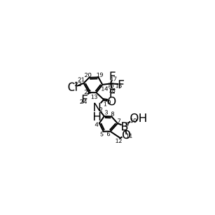 O=C(Nc1ccc2c(c1)B(O)OC2)c1c(C(F)(F)F)ccc(Cl)c1F